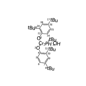 CC(C)(C)[PH][Cr]([O]c1ccc(C(C)(C)C)cc1C(C)(C)C)[O]c1ccc(C(C)(C)C)cc1C(C)(C)C.Cl